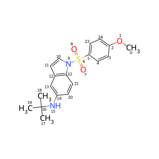 COc1ccc(S(=O)(=O)n2ccc3cc(NC(C)(C)C)ccc32)cc1